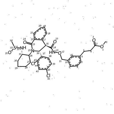 COC(=O)CCc1cccc(CONC(=O)[C@@H]2c3ccccc3C(=O)N(C3CCCC[C@@H]3N[S+](C)[O-])[C@H]2c2ccc(Cl)cc2Cl)c1